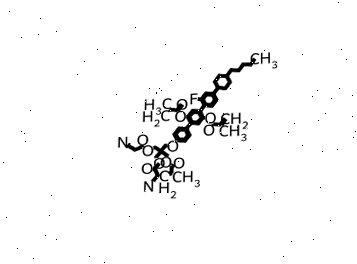 C=C(C)C(=O)OCC(COC(=O)CC#N)(COC(=O)CC#N)COc1ccc(-c2cc(OC(=O)C(=C)C)c(-c3ccc(C4CCC(CCCCC)CC4)cc3F)cc2OC(=O)C(=C)C)cc1